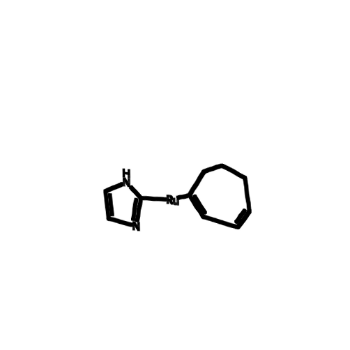 C1=CCCC[C]([Ru][c]2ncc[nH]2)=C1